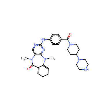 CN1C(=O)C2=CCCC=C2N(C)c2nc(Nc3ccc(C(=O)N4CCC(N5CCNCC5)CC4)cc3)ncc21